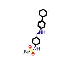 CC(C)(C)S(=O)(=O)N[C@H]1CC[C@H](CNc2ccc(C3CCCCC3)cc2)CC1